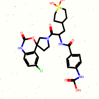 O=C(O)Nc1ccc(C(=O)NC(CC2CCS(O)(O)CC2)C(=O)N2CCC3(C2)OC(=O)Nc2ccc(Cl)cc23)cc1